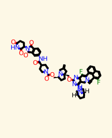 C#Cc1c(F)ccc2cccc(-c3ncc4c(N5C[C@H]6CC[C@@H](C5)N6)nc(OC[C@@]56CC[C@@H](COC(=O)N7CCC(C(=O)Nc8ccc9c(c8)C(=O)N(C8CCC(=O)NC8=O)C9=O)CC7)N5CC(=C)C6)nc4c3F)c12